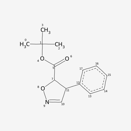 CC(C)(C)OC(=O)C1ON=CC1c1ccccc1